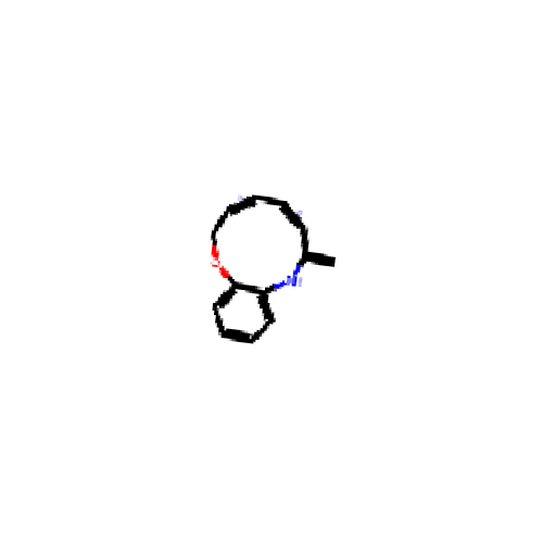 C=C1/C=C\C=C/COc2ccccc2N1